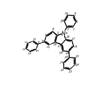 [c]1ccc(-n2c3ccc(-c4ccccc4)cc3c3cc(-c4ccccc4)ccc32)cc1